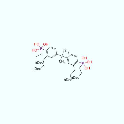 CCCCCCCCCCCCc1cc(C(C)(C)c2ccc(P(O)(O)(O)CCCCCCCCCCCC)c(CCCCCCCCCCCC)c2)ccc1P(O)(O)(O)CCCCCCCCCCCC